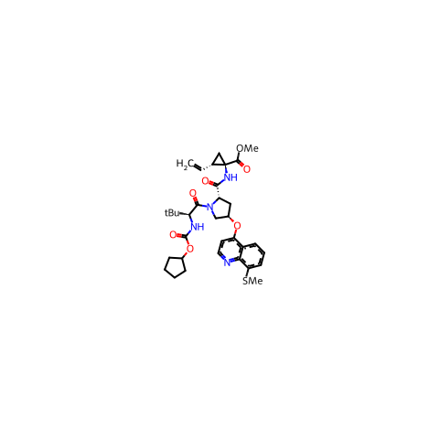 C=C[C@@H]1C[C@]1(NC(=O)[C@@H]1C[C@@H](Oc2ccnc3c(SC)cccc23)CN1C(=O)[C@@H](NC(=O)OC1CCCC1)C(C)(C)C)C(=O)OC